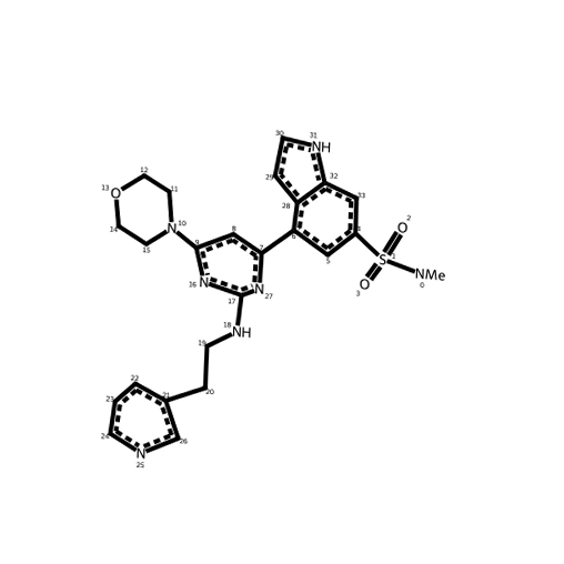 CNS(=O)(=O)c1cc(-c2cc(N3CCOCC3)nc(NCCc3cccnc3)n2)c2cc[nH]c2c1